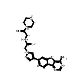 Nc1ncnc2c1sc1cc(-c3cnn(CC(=O)NCC(=O)N4CCOCC4)c3)ccc12